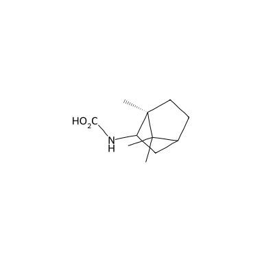 CC1(C)C2CC[C@]1(C)C(NC(=O)O)C2